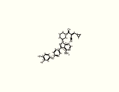 N#CC(=CC1CC1)C(=O)N1CCCC(n2nc(-c3ccc(Oc4ccc(F)c(F)c4)nc3)c3c(N)ncnc32)C1